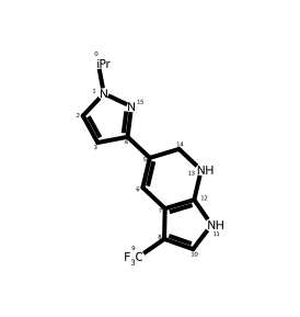 CC(C)n1ccc(C2=Cc3c(C(F)(F)F)c[nH]c3NC2)n1